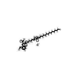 CCCCCCCCCCCCCCCNC(=O)OCCCCCOC(=O)N(Cc1cccc[n+]1CC)C(C)=O.[I-]